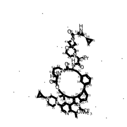 CO[C@@H](C)c1ncc(N2CCN(C3CC3)CC2)cc1-c1c2c3cc(ccc3n1CC(F)(F)F)-c1cccc(c1)C[C@H](NC(=O)[C@H](C(C)C)N1CCOC3(CN(C(=O)[C@@H]4N[C@@H]4C4CC4)C3)C1)C(=O)N1CCC[C@H](N1)C(=O)OCC(C)(C)C2